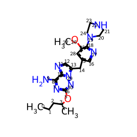 CCC[C@H](C)Oc1nc(N)c2ncc(Cc3cnc(N4CCNCC4)c(OC)c3)n2n1